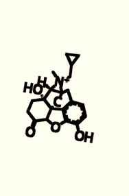 C[N+]1(CC2CC2)[C@@H]2C13Cc1ccc(O)c4c1[C@@]1(C3)C(O4)C(=O)CC[C@@]21O